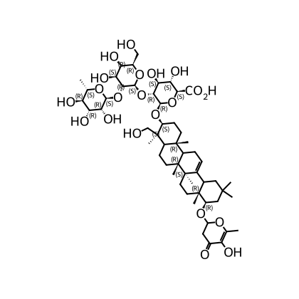 CC1=C(O)C(=O)CC(O[C@@H]2CC(C)(C)CC3C4=CCC5[C@@]6(C)CC[C@H](O[C@@H]7O[C@H](C(=O)O)[C@@H](O)[C@H](O)[C@H]7O[C@@H]7O[C@H](CO)[C@H](O)[C@H](O)[C@H]7O[C@@H]7O[C@@H](C)[C@H](O)[C@@H](O)[C@H]7O)[C@](C)(CO)C6CC[C@@]5(C)[C@]4(C)CC[C@]32C)O1